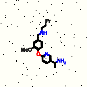 C=C(N)c1ccc(Oc2ccc(CNCCC(C)C)cc2OC)nc1